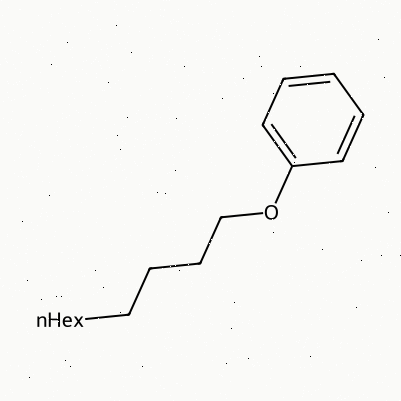 [CH2]CCCCCCCCCOc1ccccc1